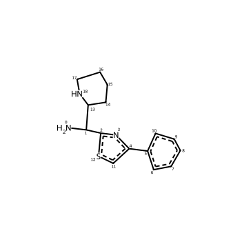 NC(c1nc(-c2ccccc2)cs1)C1CCCCN1